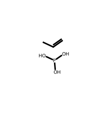 C=CC.OP(O)O